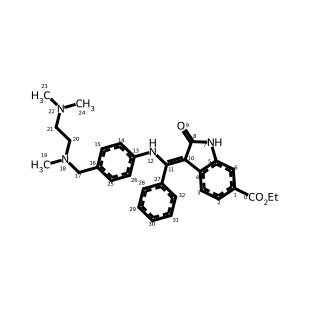 CCOC(=O)c1ccc2c(c1)NC(=O)/C2=C(\Nc1ccc(CN(C)CCN(C)C)cc1)c1ccccc1